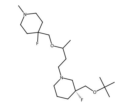 CC(CCN1CCC[C@](F)(COC(C)(C)C)C1)OCC1(F)CCN(C)CC1